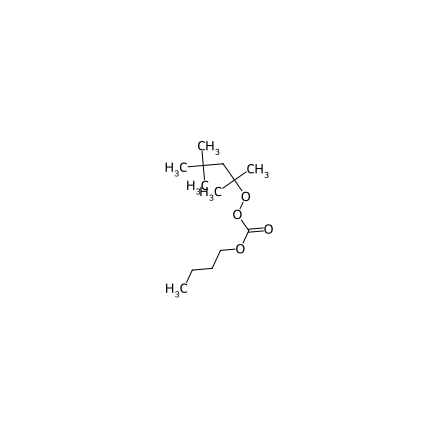 CCCCOC(=O)OOC(C)(C)CC(C)(C)C